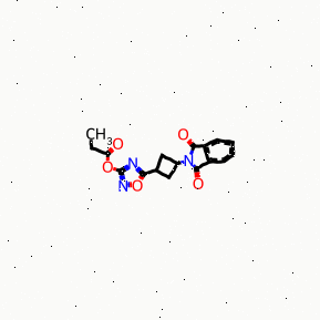 CCC(=O)Oc1noc(C2CC(N3C(=O)c4ccccc4C3=O)C2)n1